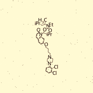 CCN(C(=O)OC(C(C)C)n1c(=O)ccc2ccc(OCCCCN3CCN(c4cccc(Cl)c4Cl)CC3)cc21)C(C)CC(C)C